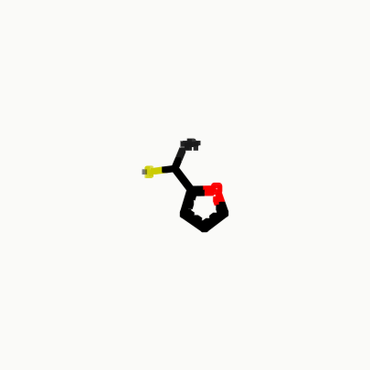 CCCC([S])c1ccco1